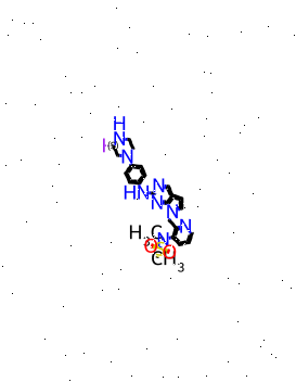 CN(c1cccnc1Cn1ccc2cnc(Nc3ccc(N4CCN[C@@H](I)C4)cc3)nc21)S(C)(=O)=O